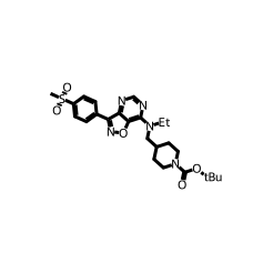 CCN(CC1CCN(C(=O)OC(C)(C)C)CC1)c1ncnc2c(-c3ccc(S(C)(=O)=O)cc3)noc12